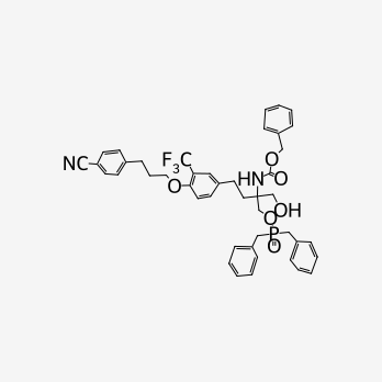 N#Cc1ccc(CCCOc2ccc(CCC(CO)(COP(=O)(Cc3ccccc3)Cc3ccccc3)NC(=O)OCc3ccccc3)cc2C(F)(F)F)cc1